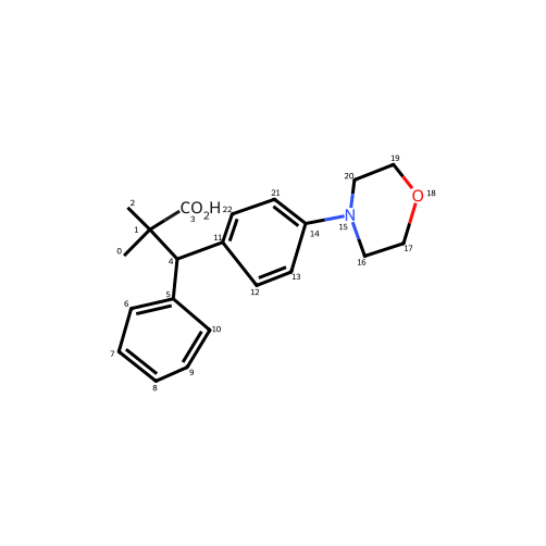 CC(C)(C(=O)O)C(c1ccccc1)c1ccc(N2CCOCC2)cc1